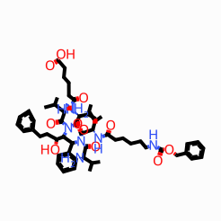 CC(C)[C@H](N)C(=O)N(C(=O)[C@@H](NC(=O)CCCCCNC(=O)OCc1ccccc1)C(C)C)C(c1ccccc1)C(C(O)CCc1ccccc1)N(C(=O)[C@@H](N)C(C)C)C(=O)[C@@H](NC(=O)CCCCC(=O)O)C(C)C